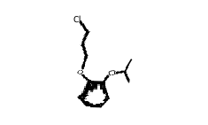 CC(C)Oc1ccccc1OCCCCl